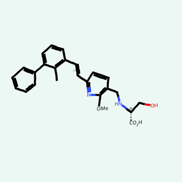 COc1nc(/C=C/c2cccc(-c3ccccc3)c2C)ccc1CN[C@H](CO)C(=O)O